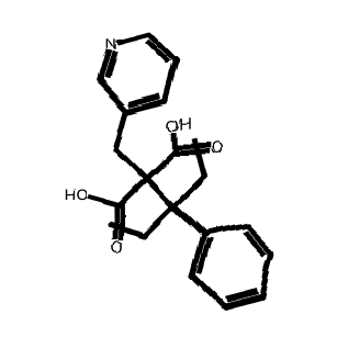 CCC(CC)(c1ccccc1)C(Cc1cccnc1)(C(=O)O)C(=O)O